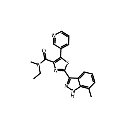 CCN(C)C(=O)c1nc(-c2n[nH]c3c(C)cccc23)sc1-c1cccnc1